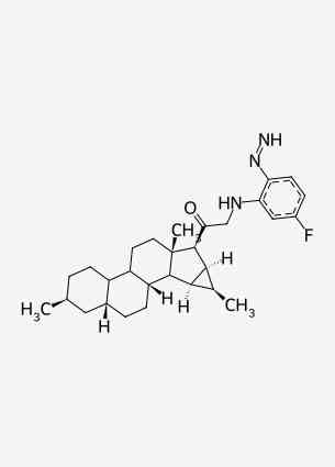 C[C@H]1CCC2C3CC[C@@]4(C)C([C@@H]3CC[C@@H]2C1)[C@@H]1[C@H](C)[C@@H]1[C@@H]4C(=O)CNc1cc(F)ccc1N=N